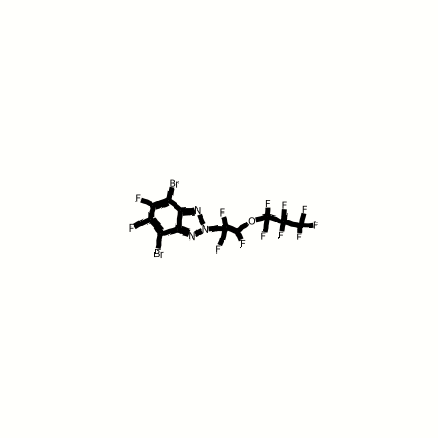 Fc1c(F)c(Br)c2nn(C(F)(F)C(F)OC(F)(F)C(F)(F)C(F)(F)F)nc2c1Br